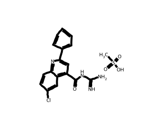 CS(=O)(=O)O.N=C(N)NC(=O)c1cc(-c2ccccc2)nc2ccc(Cl)cc12